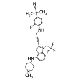 CN1CCC(Nc2cccc3c2cc(C#CCNc2ccc(C(C)(C)C#N)cc2F)n3CC(F)(F)F)CC1